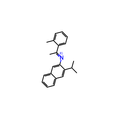 C/C(=N\c1cc2ccccc2cc1C(C)C)c1ccccc1C